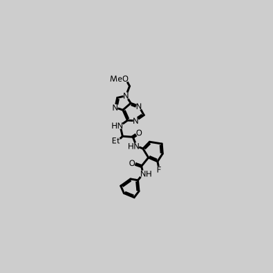 CCC(Nc1ncnc2c1ncn2COC)C(=O)Nc1cccc(F)c1C(=O)Nc1ccccc1